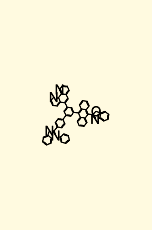 c1ccc(-n2c(-c3ccc(-c4cc(-c5c6ccccc6c(-c6nc7ccccc7o6)c6ccccc56)cc(-c5cc6cccnc6c6ncccc56)c4)cc3)nc3ccccc32)cc1